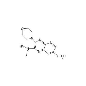 CC(C)N(C)c1nc2cc(C(=O)O)cnc2nc1N1CCOCC1